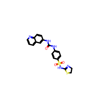 O=C(Nc1ccc(S(=O)(=O)NC2=NCCS2)cc1)Nc1ccc2ncccc2c1